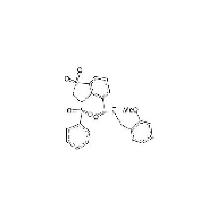 COc1ccccc1CNC(=O)c1cccc2c1C(S(=O)(=O)c1ccccc1)CS2(=O)=O